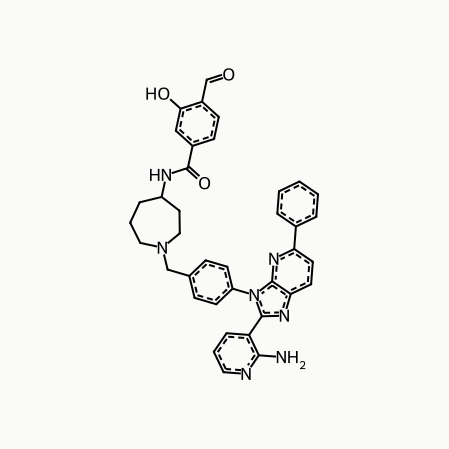 Nc1ncccc1-c1nc2ccc(-c3ccccc3)nc2n1-c1ccc(CN2CCCC(NC(=O)c3ccc(C=O)c(O)c3)CC2)cc1